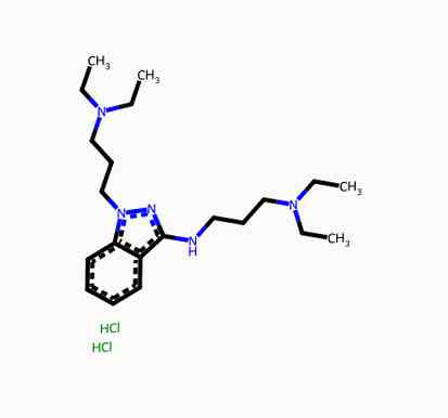 CCN(CC)CCCNc1nn(CCCN(CC)CC)c2ccccc12.Cl.Cl